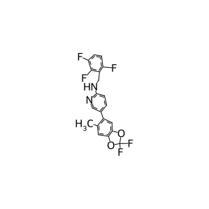 Cc1cc2c(cc1-c1ccc(NCc3c(F)ccc(F)c3F)nc1)OC(F)(F)O2